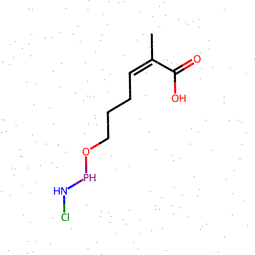 CC(=CCCCOPNCl)C(=O)O